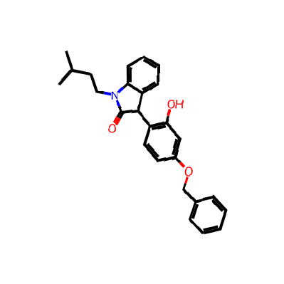 CC(C)CCN1C(=O)C(c2ccc(OCc3ccccc3)cc2O)c2ccccc21